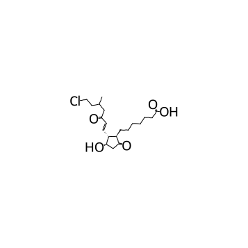 CC(CCCl)CC(=O)C=C[C@H]1[C@H](O)CC(=O)[C@@H]1CCCCCCC(=O)O